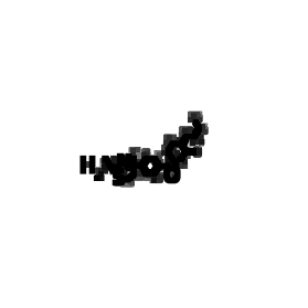 C=C1CN(C(=O)c2ccc(C3(C)CCSC(N)=N3)cc2)CC/C1=C/C=C\C